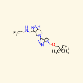 C[Si](C)(C)CCOCn1ccc2c(N3CCc4[nH]nc(CNCCC(F)(F)F)c4C3)ncnc21